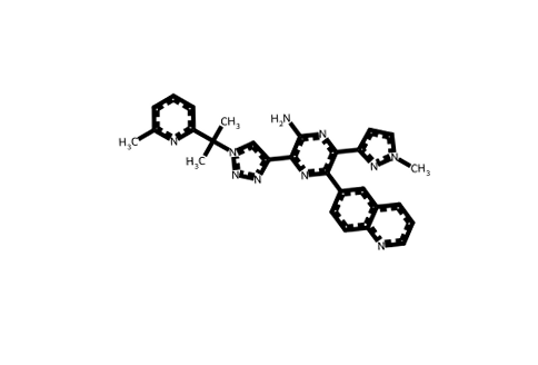 Cc1cccc(C(C)(C)n2cc(-c3nc(-c4ccc5ncccc5c4)c(-c4ccn(C)n4)nc3N)nn2)n1